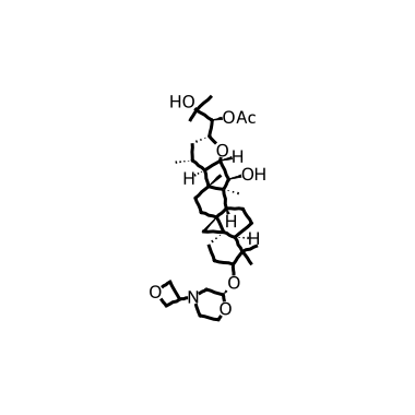 CC(=O)O[C@@H]([C@H]1C[C@@H](C)[C@H]2[C@H](O1)[C@@H](O)[C@@]1(C)[C@@H]3CC[C@H]4C(C)(C)C(O[C@H]5CN(C6COC6)CCO5)CC[C@@]45C[C@@]35CC[C@]21C)C(C)(C)O